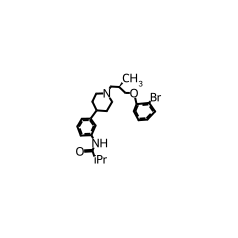 CC(C)C(=O)Nc1cccc(C2CCN(C[C@@H](C)COc3ccccc3Br)CC2)c1